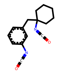 O=C=Nc1cccc(CC2(N=C=O)CCCCC2)c1